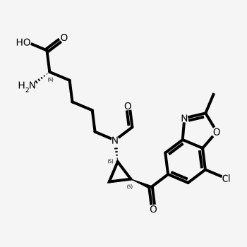 Cc1nc2cc(C(=O)[C@H]3C[C@@H]3N(C=O)CCCC[C@H](N)C(=O)O)cc(Cl)c2o1